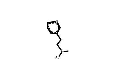 CC(=O)N(C)CCc1cccnc1